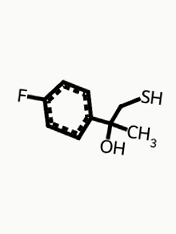 CC(O)(CS)c1ccc(F)cc1